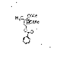 CO[SiH](OC)C(C)CCOC(=O)c1ccccc1